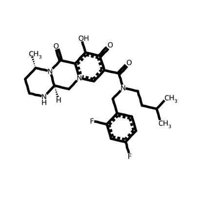 CC(C)CCN(Cc1ccc(F)cc1F)C(=O)c1cn2c(c(O)c1=O)C(=O)N1[C@@H](C)CCN[C@@H]1C2